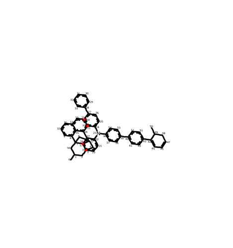 CC1CC2CC3CC(c4cccc5cccc(-c6ccccc6N(c6ccc(-c7ccccc7)cc6)c6ccc(-c7ccc(C8=CC=CCC8C)cc7)cc6)c45)(C1)C23